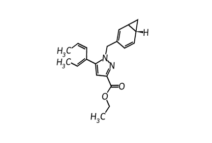 C/C=C\C(=C/C)c1cc(C(=O)OCC)nn1CC1=CC2C[C@@H]2C=C1